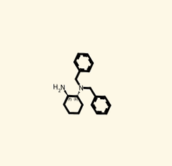 N[C@@H]1CCCC[C@H]1N(Cc1ccccc1)Cc1ccccc1